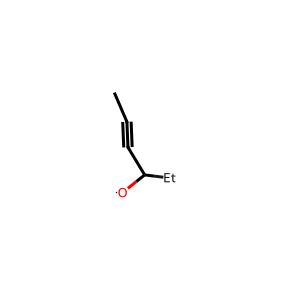 CC#CC([O])CC